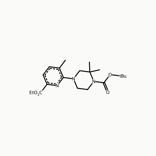 CCOC(=O)c1ccc(C)c(N2CCN(C(=O)OC(C)(C)C)C(C)(C)C2)n1